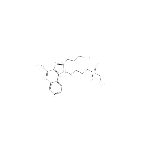 CCCCc1nc2c(N)nc3ccccc3c2n1CCCCS(=O)(=O)CC